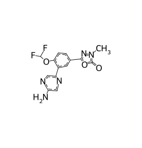 Cn1nc(-c2ccc(OC(F)F)c(-c3cnc(N)cn3)c2)oc1=O